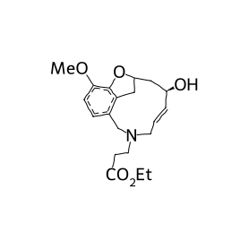 CCOC(=O)CCN1C/C=C/[C@H](O)CC2Cc3c(ccc(OC)c3O2)C1